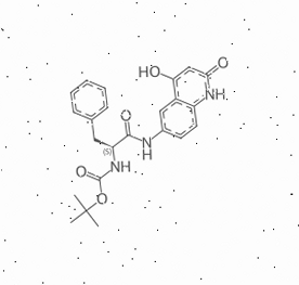 CC(C)(C)OC(=O)N[C@@H](Cc1ccccc1)C(=O)Nc1ccc2[nH]c(=O)cc(O)c2c1